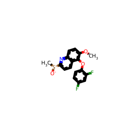 COc1ccc2nc([S+](C)[O-])ccc2c1Oc1ccc(F)cc1F